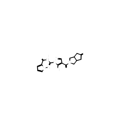 Cc1c(C(=O)N2CC3CC(=O)CC3C2)cnn1-c1nn2cccc2c(=O)[nH]1